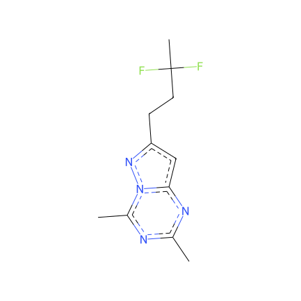 Cc1nc(C)n2nc(CCC(C)(F)F)cc2n1